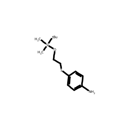 CC(C)(C)[Si](C)(C)OCCSc1ccc(N)cc1